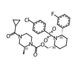 C[C@H]1CN(C(=O)C2CC2)CCN1C(=O)OC[C@H]1CCC[C@@H](c2cccc(F)c2)N1S(=O)(=O)c1ccc(Cl)cc1